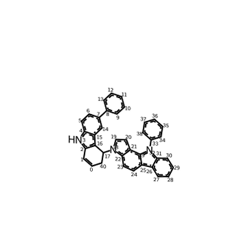 C1=Cc2[nH]c3ccc(-c4ccccc4)cc3c2C(n2ccc3c2ccc2c4ccccc4n(-c4ccccc4)c23)C1